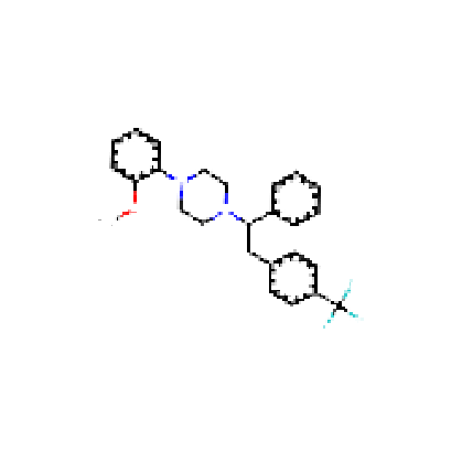 COc1ccccc1N1CCN(C(Cc2ccc(C(F)(F)F)cc2)c2ccccc2)CC1